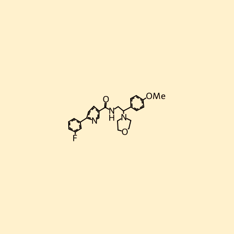 COc1ccc(C(CNC(=O)c2ccc(-c3cccc(F)c3)nc2)N2CCOCC2)cc1